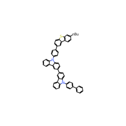 CCCCc1ccc2c(c1)sc1ccc(-c3ccc(-n4c5ccccc5c5cc(-c6ccc7c(c6)c6ccccc6n7-c6ccc(-c7ccccc7)cc6)ccc54)cc3)cc12